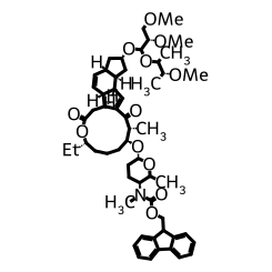 CC[C@H]1CCC[C@H](O[C@H]2CC[C@H](N(C)C(=O)OCC3c4ccccc4-c4ccccc43)C(C)O2)[C@@H](C)C(=O)C2=C[C@@H]3[C@@H](C=C[C@@H]4C[C@@H](OC(OC(C)[C@@H](C)OC)[C@H](COC)OC)C[C@@H]34)[C@@H]2CC(=O)O1